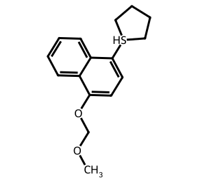 COCOc1ccc([SH]2CCCC2)c2ccccc12